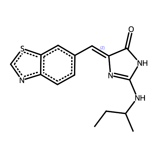 CCC(C)NC1=N/C(=C\c2ccc3ncsc3c2)C(=O)N1